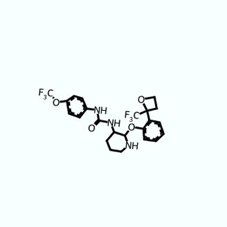 O=C(Nc1ccc(OC(F)(F)F)cc1)NC1CCCNC1Oc1ccccc1C1(C(F)(F)F)CCO1